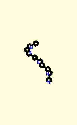 c1ccc(-c2ccc3ccc4ccc(-c5ccc(-c6ccc7cc(-c8ccc9ccc(-c%10ccncc%10)nc9c8)ccc7n6)cc5)nc4c3n2)cc1